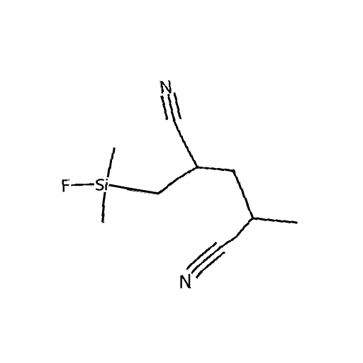 CC(C#N)CC(C#N)C[Si](C)(C)F